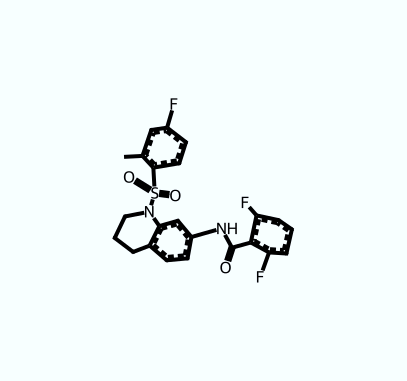 Cc1cc(F)ccc1S(=O)(=O)N1CCCc2ccc(NC(=O)c3c(F)cccc3F)cc21